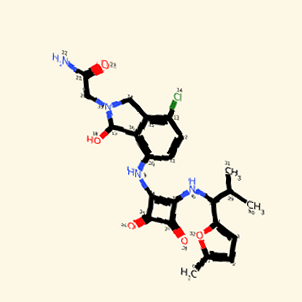 Cc1ccc(C(Nc2c(Nc3ccc(Cl)c4c3C(O)N(CC(N)=O)C4)c(=O)c2=O)C(C)C)o1